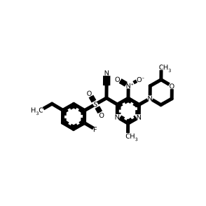 CCc1ccc(F)c(S(=O)(=O)C(C#N)c2nc(C)nc(N3CCOC(C)C3)c2[N+](=O)[O-])c1